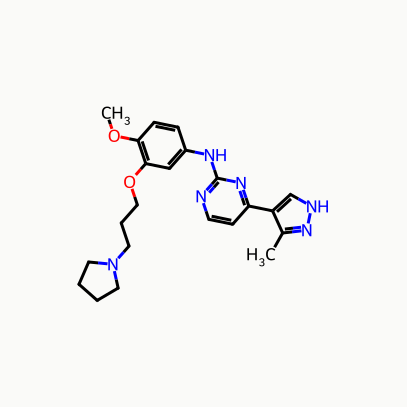 COc1ccc(Nc2nccc(-c3c[nH]nc3C)n2)cc1OCCCN1CCCC1